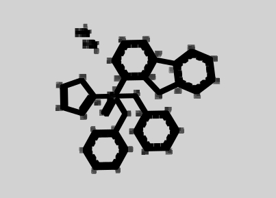 Br.Br.[CH2]=[Zr]([CH2]c1ccccc1)([CH2]c1ccccc1)([C]1=CC=CC1)[c]1cccc2c1Cc1ccccc1-2